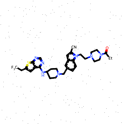 CCC(=O)N1CCN(CCn2c(C#N)cc3cc(CN4CCC(Nc5ncnc6sc(CC(F)(F)F)cc56)CC4)ccc32)CC1